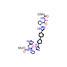 COC(=O)N[C@@H](C)C(=O)N1CCC[C@H]1c1ncc(-c2ccc(-c3ccc(-c4cnc([C@@H]5CCCN5C(=O)[C@H](Cc5cncn5C)NC(=O)OC)[nH]4)cc3)cc2)[nH]1